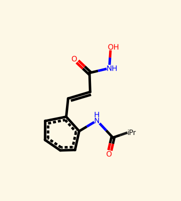 CC(C)C(=O)Nc1ccccc1/C=C/C(=O)NO